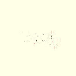 CC1(C)CC[C@]2(C(=O)O)CC[C@]3(C)C(=CC[C@@H]4[C@@]5(C)CC(O)C(O)(O)C(C)(C)[C@@H]5C(O)C[C@]43C)[C@@H]2C1O